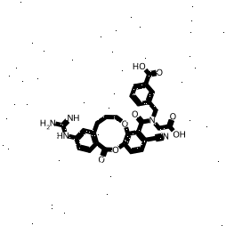 N#Cc1ccc2c(c1C(=O)N(CC(=O)O)Cc1cccc(C(=O)O)c1)OCCCc1cc(NC(=N)N)ccc1C(=O)O2